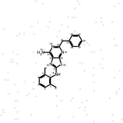 Cc1cccc(C)c1Nc1nc2c(N)nc(Cc3ccccc3)nc2s1